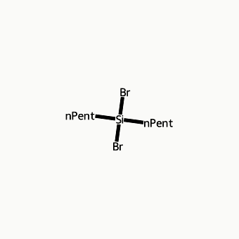 CCCCC[Si](Br)(Br)CCCCC